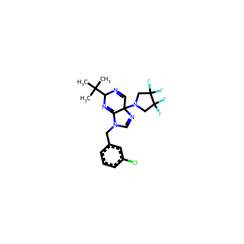 CC(C)(C)C1N=CC2(N3CC(F)(F)C(F)(F)C3)N=CN(Cc3cccc(Cl)c3)C2=N1